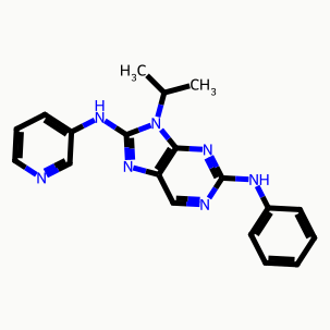 CC(C)n1c(Nc2cccnc2)nc2cnc(Nc3ccccc3)nc21